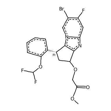 COC(=O)COC1C[C@H](c2ccccc2OC(F)F)c2c1nc1cc(F)c(Br)cn21